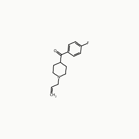 C=CCN1CCC(C(=O)c2ccc(F)cc2)CC1